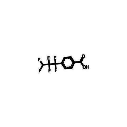 O=C(O)c1ccc(C(F)(F)C(F)(F)C(F)F)cc1